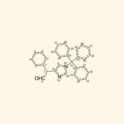 O=CC(c1ccccc1)c1cn(C(c2ccccc2)(c2ccccc2)c2ccccc2)cn1